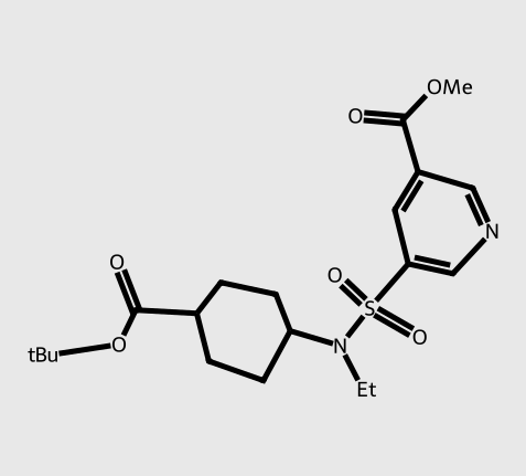 CCN(C1CCC(C(=O)OC(C)(C)C)CC1)S(=O)(=O)c1cncc(C(=O)OC)c1